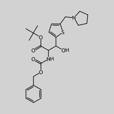 CC(C)(C)OC(=O)C(NC(=O)OCc1ccccc1)C(O)c1ccc(CN2CCCC2)s1